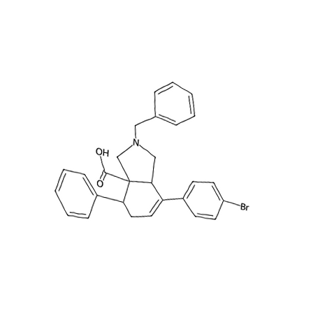 O=C(O)C12CN(Cc3ccccc3)CC1C(c1ccc(Br)cc1)=CCC2c1ccccc1